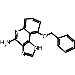 Nc1nc2cccc(OCc3ccccc3)c2c2[nH]cnc12